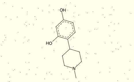 CN1CCC(c2ccc(O)cc2O)CC1